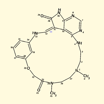 CN1CCNc2ncnc3c2/C(=C/Nc2cccc(c2)OCC(=O)N(C)CC1)C(=O)N3